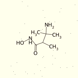 CC(C(=O)NO)C(C)(C)N